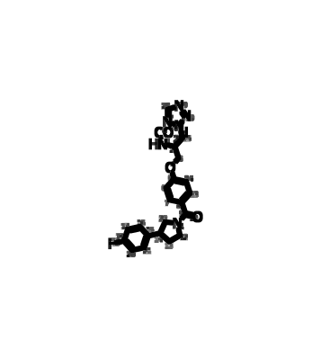 O=C(O)NC(COc1ccc(C(=O)N2CCC(c3ccc(F)cc3)C2)cc1)Cn1ncnn1